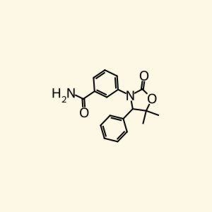 CC1(C)OC(=O)N(c2cccc(C(N)=O)c2)C1c1ccccc1